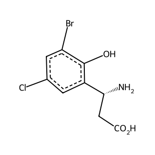 N[C@H](CC(=O)O)c1cc(Cl)cc(Br)c1O